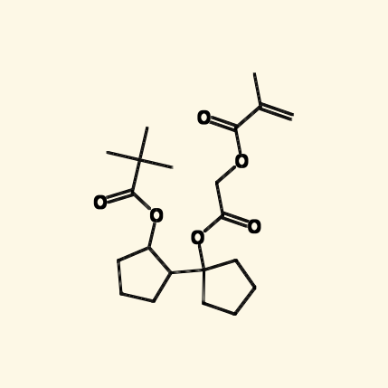 C=C(C)C(=O)OCC(=O)OC1(C2CCCC2OC(=O)C(C)(C)C)CCCC1